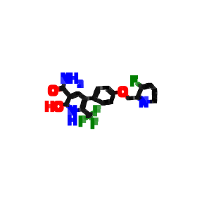 NC(=O)C1=CC(c2ccc(OCc3ncccc3F)cc2)=C(C(F)(F)F)NC1O